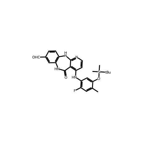 Cc1cc(F)c(Nc2ccnc3c2C(=O)Nc2cc(C=O)ccc2N3)cc1O[Si](C)(C)C(C)(C)C